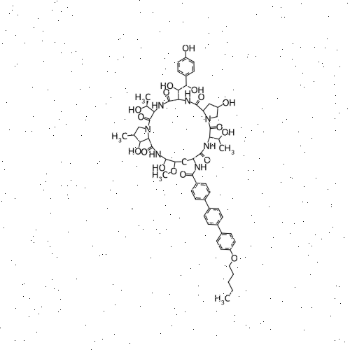 CCCCCOc1ccc(-c2ccc(-c3ccc(C(=O)NC4CC(OC)C(O)NC(=O)C5C(O)C(C)CN5C(=O)C([C@H](C)O)NC(=O)C(C(O)C(O)c5ccc(O)cc5)NC(=O)C5CC(O)CN5C(=O)C(C(C)O)NC4=O)cc3)cc2)cc1